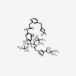 CC(C)(C)OC(=O)c1cn(C[C@H](F)CC(C(=O)OC(C)(C)C)(C(=O)OC(C)(C)C)c2ccc(NC(=O)Cc3cc(OC4CC(F)(F)C4)ccn3)nn2)nn1